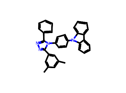 Cc1cc(C)cc(-c2nnc(-c3ccccc3)n2-c2ccc(-n3c4ccccc4c4ccccc43)cc2)c1